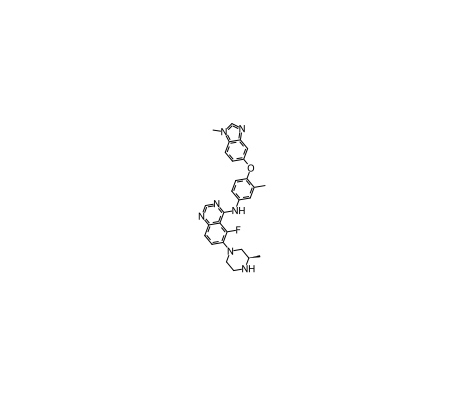 Cc1cc(Nc2ncnc3ccc(N4CCN[C@H](C)C4)c(F)c23)ccc1Oc1ccc2c(c1)ncn2C